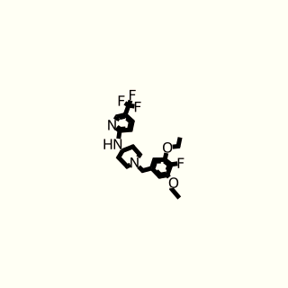 CCOc1cc(CN2CCC(Nc3ccc(C(F)(F)F)cn3)CC2)cc(OCC)c1F